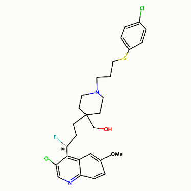 COc1ccc2ncc(Cl)c([C@H](F)CCC3(CO)CCN(CCCSc4ccc(Cl)cc4)CC3)c2c1